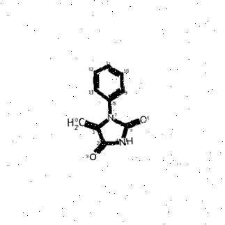 C=C1C(=O)NC(=O)N1c1ccccc1